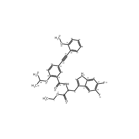 CCOC(=O)C(Cc1c[nH]c2cc(F)c(F)cc12)NC(=O)c1cc(C#Cc2ccccc2OC)ccc1OC(C)C